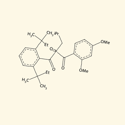 CCC(C)(C)c1cccc(C(C)(C)CC)c1C(=O)P(=O)(CC(C)C)C(=O)c1ccc(OC)cc1OC